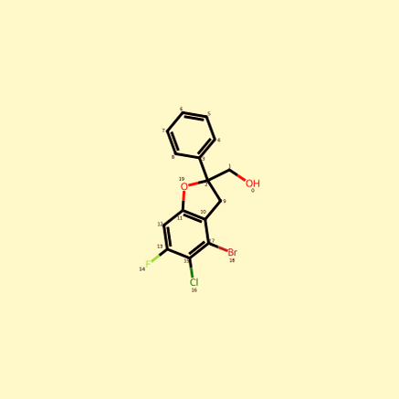 OCC1(c2ccccc2)Cc2c(cc(F)c(Cl)c2Br)O1